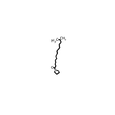 CC(C)CCCCCCCCCCCC(=O)N1CCCC1